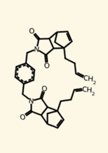 C=CCCC12C=CC(C1)C1C(=O)N(Cc3ccc(CN4C(=O)C5C6C=CC(CCC=C)(C6)C5C4=O)cc3)C(=O)C12